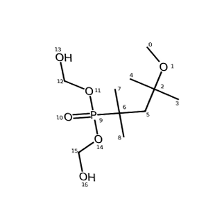 COC(C)(C)CC(C)(C)P(=O)(OCO)OCO